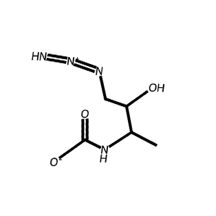 CC(NC(=O)[O-])C(O)CN=[N+]=N